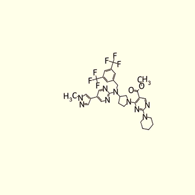 COC(=O)c1cnc(N2CCCCC2)nc1N1CCC(N(Cc2cc(C(F)(F)F)cc(C(F)(F)F)c2)c2ncc(-c3cnn(C)c3)cn2)C1